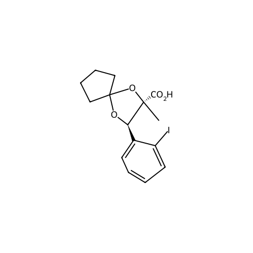 C[C@]1(C(=O)O)OC2(CCCC2)O[C@@H]1c1ccccc1I